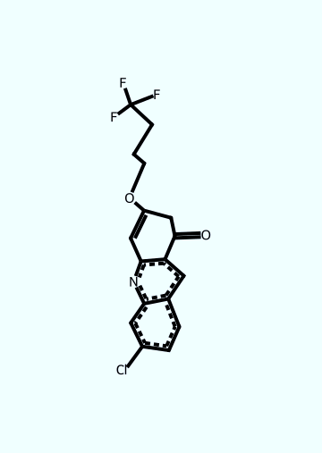 O=C1CC(OCCCC(F)(F)F)=Cc2nc3cc(Cl)ccc3cc21